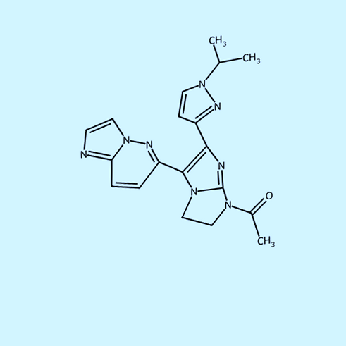 CC(=O)N1CCn2c1nc(-c1ccn(C(C)C)n1)c2-c1ccc2nccn2n1